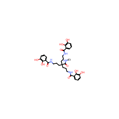 CCNC(=O)C(CCCNC(=O)c1cccc(O)c1O)(CCCNC(=O)c1cccc(O)c1O)CCCNC(=O)c1cccc(O)c1O